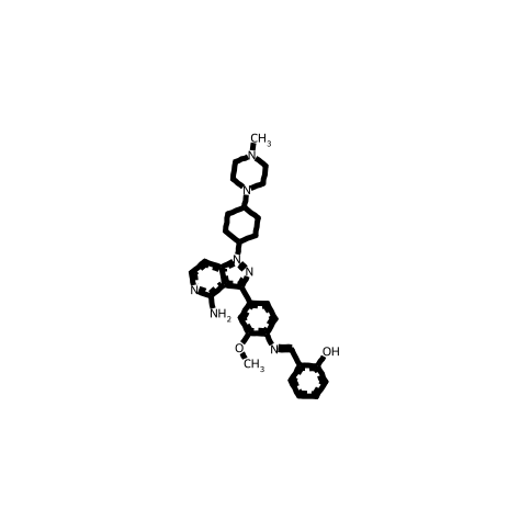 COc1cc(-c2nn(C3CCC(N4CCN(C)CC4)CC3)c3ccnc(N)c23)ccc1/N=C/c1ccccc1O